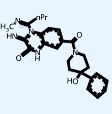 CCC/C(=N/C)n1c(=N)c(=O)[nH]c2cc(C(=O)N3CCC(O)(c4ccccc4)CC3)ccc21